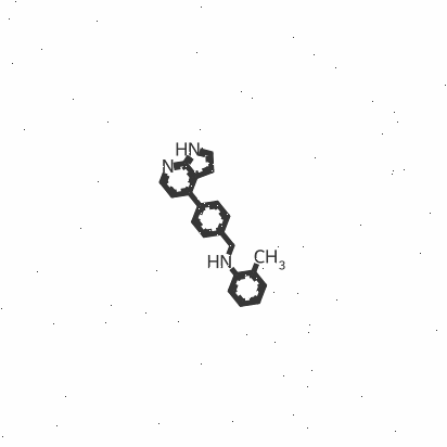 Cc1ccccc1NCc1ccc(-c2ccnc3[nH]ccc23)cc1